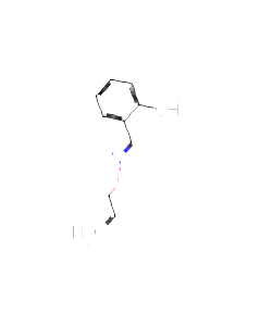 C=CCO/N=C/c1ccccc1C